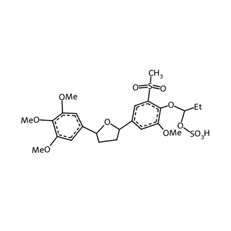 CCC(Oc1c(OC)cc(C2CCC(c3cc(OC)c(OC)c(OC)c3)O2)cc1S(C)(=O)=O)OS(=O)(=O)O